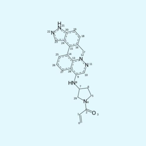 C=CC(=O)N1CCC(Nc2cnnc3c(-c4c(C)ccc5[nH]ncc45)cccc23)C1